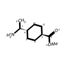 COC(=O)[C@H]1CC[C@H](C(C)N)CC1